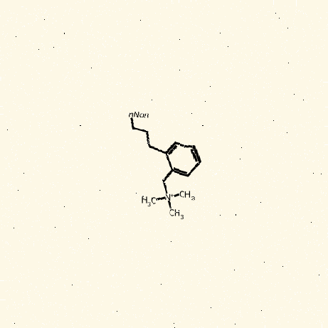 CCCCCCCCCCCCc1ccccc1C[N+](C)(C)C